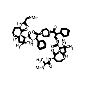 CNCC(=O)N[C@H]1CCS[C@H]2CC(C)(C)[C@@H](C(=O)N[C@H](C(=O)N3CCN(C(=O)C(/C=N/C(=O)[C@H]4N5C(=O)[C@@H](NC(=O)[C@H](C)NC)CCS[C@H]5CC4(C)C)c4ccccc4)CC3)c3ccccc3)N2C1=O